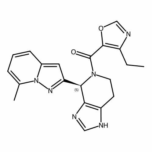 CCc1ncoc1C(=O)N1CCc2[nH]cnc2[C@H]1c1cc2cccc(C)n2n1